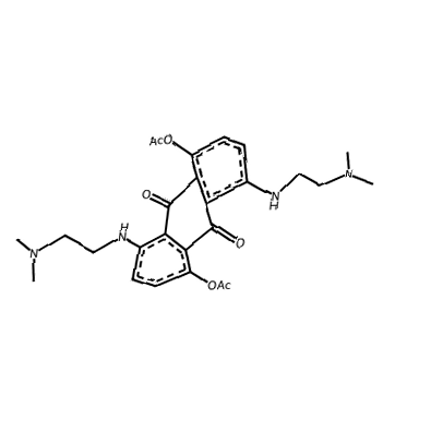 CC(=O)Oc1ccc(NCCN(C)C)c2c1C(=O)c1c(NCCN(C)C)ccc(OC(C)=O)c1C2=O